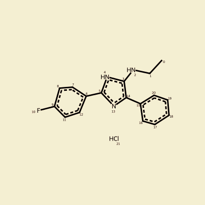 CCNc1[nH]c(-c2ccc(F)cc2)nc1-c1ccccc1.Cl